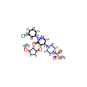 CC(C)OC1CCC(Oc2c(N3CCN(S(=O)(=O)C(C)C)CC3)cnn(-c3cccc(Cl)c3)c2=O)C1